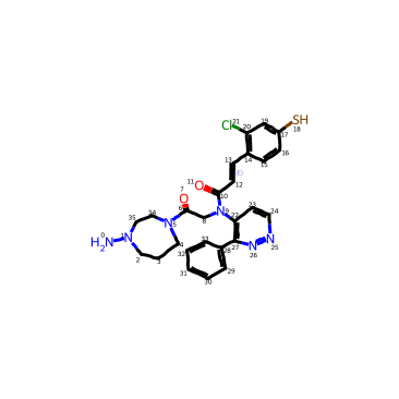 NN1CCCN(C(=O)CN(C(=O)/C=C/c2ccc(S)cc2Cl)c2ccnnc2-c2ccccc2)CC1